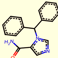 NC(=O)c1cncn1C(c1ccccc1)c1ccccc1